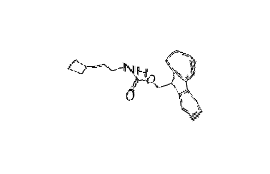 O=C(NCC=C1CCC1)OCC1c2ccccc2-c2ccccc21